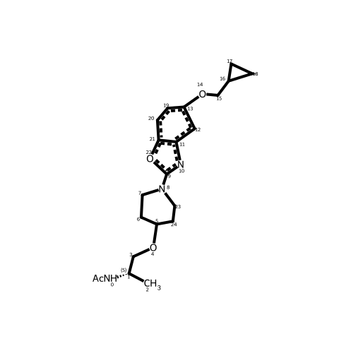 CC(=O)N[C@@H](C)COC1CCN(c2nc3cc(OCC4CC4)ccc3o2)CC1